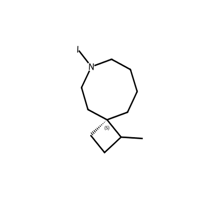 CC1CC[C@]12CCCCN(I)CC2